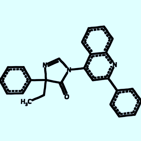 CCC1(c2ccccc2)N=CN(c2cc(-c3ccccc3)nc3ccccc23)C1=O